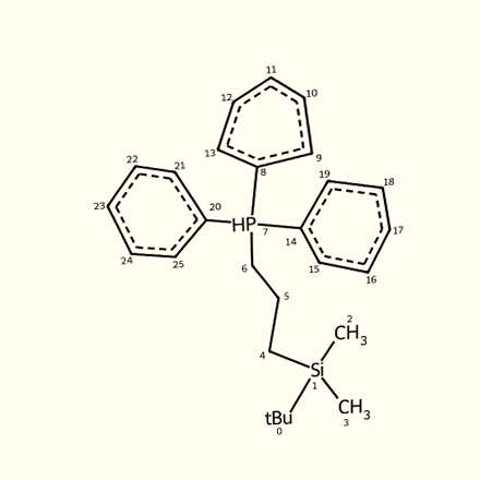 CC(C)(C)[Si](C)(C)CCC[PH](c1ccccc1)(c1ccccc1)c1ccccc1